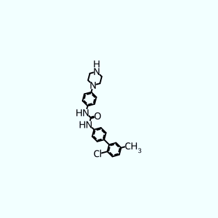 Cc1ccc(Cl)c(-c2ccc(NC(=O)Nc3ccc(N4CCNCC4)cc3)cc2)c1